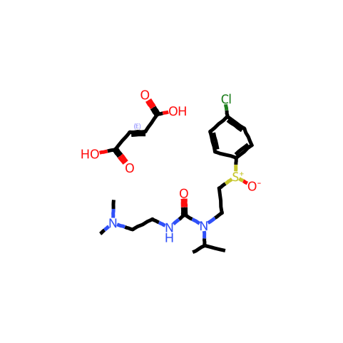 CC(C)N(CC[S+]([O-])c1ccc(Cl)cc1)C(=O)NCCN(C)C.O=C(O)/C=C/C(=O)O